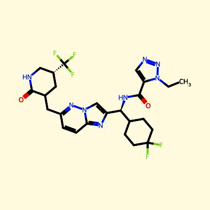 CCn1nncc1C(=O)N[C@H](c1cn2nc(CC3C[C@@H](C(F)(F)F)CNC3=O)ccc2n1)C1CCC(F)(F)CC1